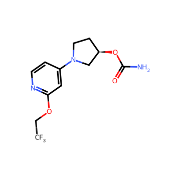 NC(=O)O[C@@H]1CCN(c2ccnc(OCC(F)(F)F)c2)C1